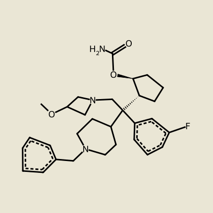 COC1CN(CC(c2cccc(F)c2)(C2CCN(Cc3ccccc3)CC2)[C@H]2CCC[C@@H]2OC(N)=O)C1